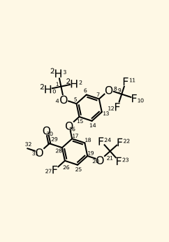 [2H]C([2H])([2H])Oc1cc(OC(F)(F)F)ccc1Oc1cc(OC(F)(F)F)cc(F)c1C(=O)OC